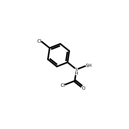 O=C(Cl)[SH](S)c1ccc(Cl)cc1